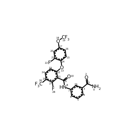 NC(=O)c1cccc(NC(=O)c2c(Oc3ccc(OC(F)(F)F)cc3F)ccc(C(F)(F)F)c2F)c1